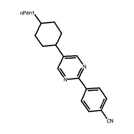 CCCCCC1CCC(c2cnc(-c3ccc(C#N)cc3)nc2)CC1